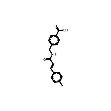 Cc1ccc(/C=C/C(=O)NCc2ccc(C(=O)O)cc2)cc1